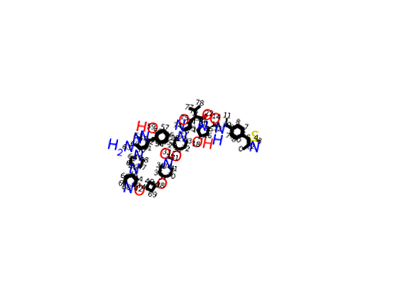 Cc1ncsc1-c1ccc([C@H](C)NC(=O)[C@@H]2C[C@@H](O)CN2C(=O)C(c2cc(N3CCC(OC(=O)N4CCC(OC5CC(Oc6cc(N7CCN(c8cc(-c9ccccc9O)nnc8N)CC7)ccn6)C5)CC4)CC3)no2)C(C)C)cc1